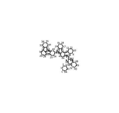 c1ccc(-c2nc(-n3c4ccccc4c4c5c6ccccc6n(-c6ccc7c8cccc9c%10ccccc%10n(c7c6)c98)c5ccc43)nc3ccccc23)cc1